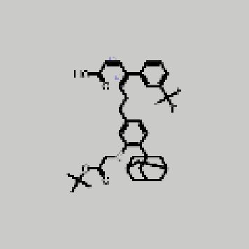 CC(C)(C)OC(=O)COc1cc(CC/C=C(/C=C\C(=O)O)c2cccc(C(F)(F)F)c2)ccc1C12CC3CC(CC(C3)C1)C2